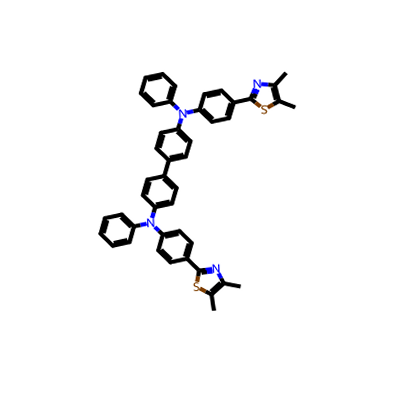 Cc1nc(-c2ccc(N(c3ccccc3)c3ccc(-c4ccc(N(c5ccccc5)c5ccc(-c6nc(C)c(C)s6)cc5)cc4)cc3)cc2)sc1C